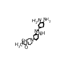 CN(C)C(=O)N1CCN(c2ccc3[nH]c(-c4ccc(N)c(N)c4)nc3c2)CC1